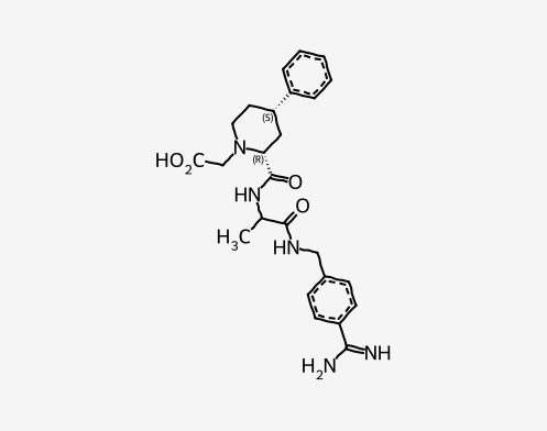 CC(NC(=O)[C@H]1C[C@@H](c2ccccc2)CCN1CC(=O)O)C(=O)NCc1ccc(C(=N)N)cc1